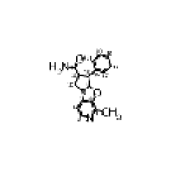 Cc1nccc2c1OC1C2CC(C(N)=O)C1c1ccccc1